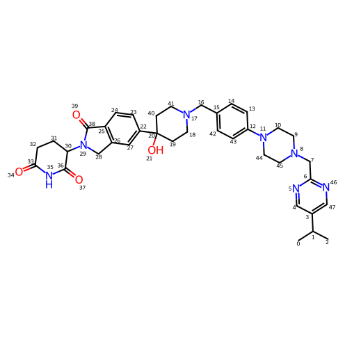 CC(C)c1cnc(CN2CCN(c3ccc(CN4CCC(O)(c5ccc6c(c5)CN(C5CCC(=O)NC5=O)C6=O)CC4)cc3)CC2)nc1